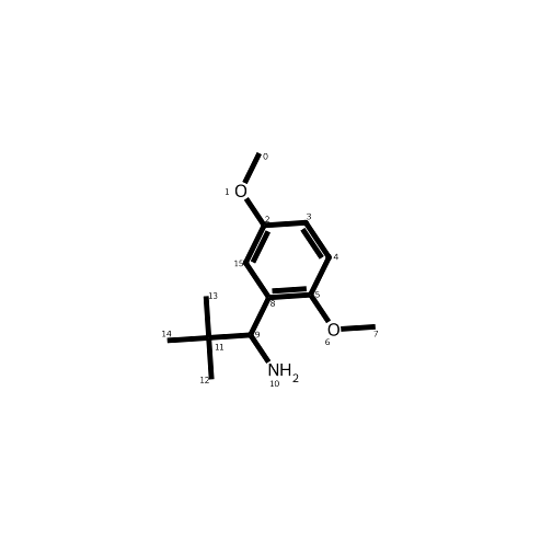 COc1ccc(OC)c(C(N)C(C)(C)C)c1